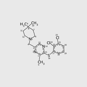 Cc1nc(CN2CCC(C)(C)CC2)cnc1Sc1cccc(Cl)c1Cl